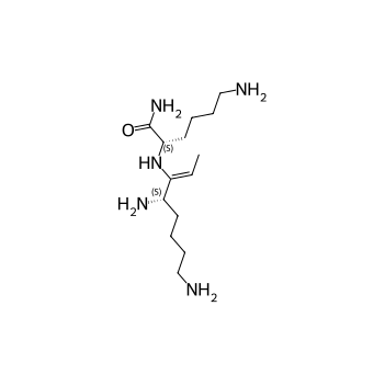 CC=C(N[C@@H](CCCCN)C(N)=O)[C@@H](N)CCCCN